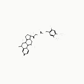 COc1cc(COC(=O)OCC(=O)[C@@]2(O)CC[C@H]3[C@@H]4CC(C)C5=CC(=O)C=C[C@]5(C)[C@H]4C(O)C[C@@]32C)c([N+](=O)[O-])cc1OC